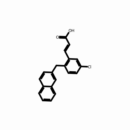 O=C(O)C=Cc1cc(Cl)ccc1Cc1ccc2ccccc2c1